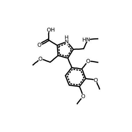 CNCc1[nH]c(C(=O)O)c(COC)c1-c1ccc(OC)c(OC)c1OC